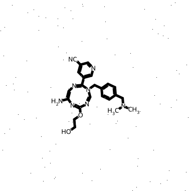 CN(C)Cc1ccc(Cn2cnc(OCCO)nc(N)cnc2-c2cncc(C#N)c2)cc1